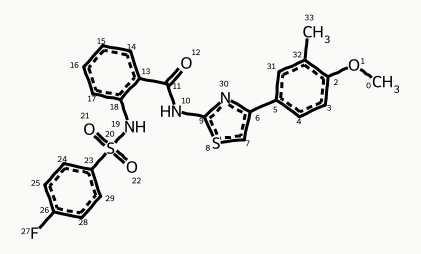 COc1ccc(-c2csc(NC(=O)c3ccccc3NS(=O)(=O)c3ccc(F)cc3)n2)cc1C